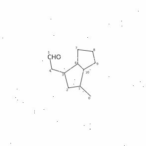 CC1CC(CC=O)C2CCCC12